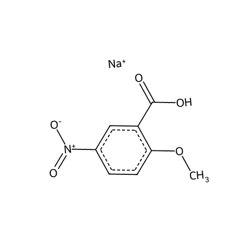 COc1ccc([N+](=O)[O-])cc1C(=O)O.[Na+]